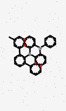 Cc1cccc(-c2cccc(-c3ccccc3)c2B2c3ccccc3N(c3ccccc3)c3ccccc32)c1